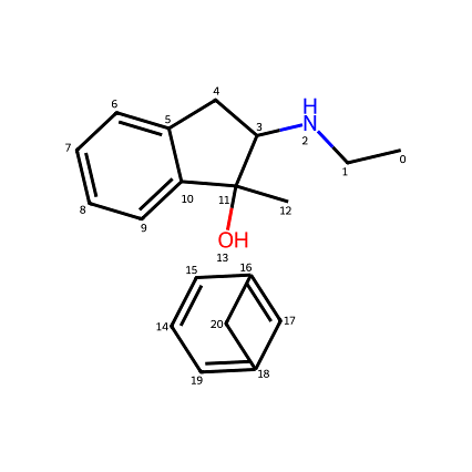 CCNC1Cc2ccccc2C1(C)O.c1cc2cc(c1)C2